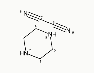 C1CNCCN1.N#CC#N